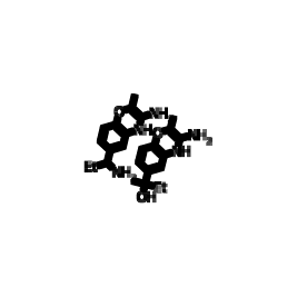 CCC(C)(O)c1ccc2c(c1)NC(N)=C(C)O2.CCC(N)c1ccc2c(c1)NC(N)=C(C)O2